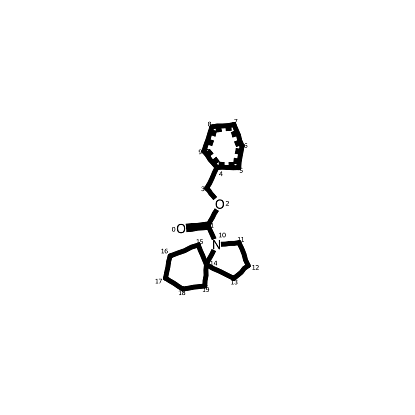 O=C(OCc1ccccc1)N1CCCC12CCCCC2